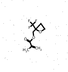 C=C(C)C(=O)OCC1(C(F)(F)F)CCO1